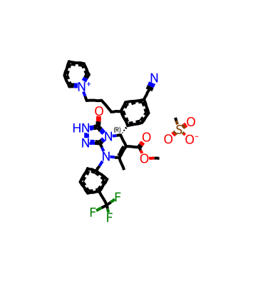 COC(=O)C1=C(C)N(c2cccc(C(F)(F)F)c2)c2n[nH]c(=O)n2[C@@H]1c1ccc(C#N)cc1CCC[n+]1ccccc1.CS(=O)(=O)[O-]